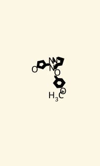 COc1ccc(COc2nc(C3=CC(=O)CC3)nn3cccc23)cc1